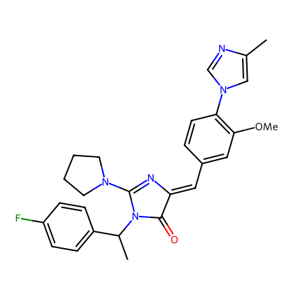 COc1cc(/C=C2\N=C(N3CCCC3)N(C(C)c3ccc(F)cc3)C2=O)ccc1-n1cnc(C)c1